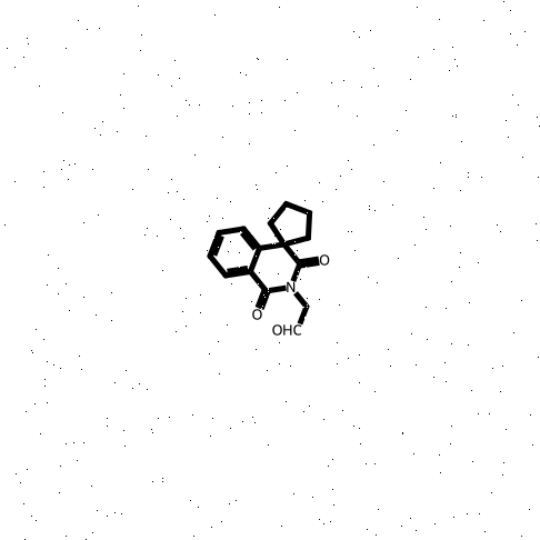 O=CCN1C(=O)c2ccccc2C2(CCCC2)C1=O